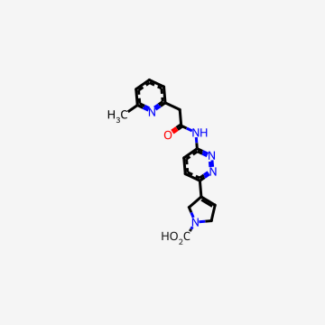 Cc1cccc(CC(=O)Nc2ccc(C3=CCN(C(=O)O)C3)nn2)n1